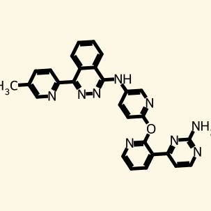 Cc1ccc(-c2nnc(Nc3ccc(Oc4ncccc4-c4ccnc(N)n4)nc3)c3ccccc23)nc1